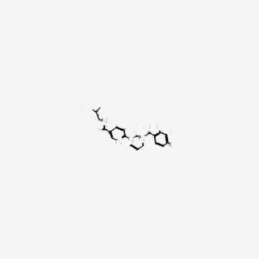 CC(C)C(C)CNC(=O)c1ccc(N2C=CCN(C(=O)c3ccc(Cl)cc3F)C2)nc1